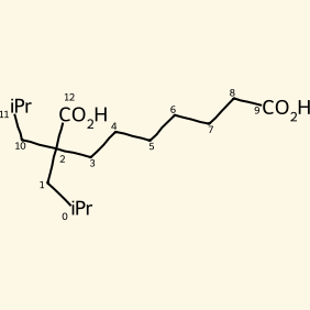 CC(C)CC(CCCCCCC(=O)O)(CC(C)C)C(=O)O